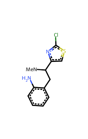 CNC(Cc1ccccc1N)c1csc(Cl)n1